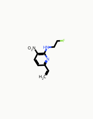 C=Cc1ccc([N+](=O)[O-])c(NCCF)n1